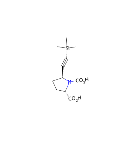 C[Si](C)(C)C#C[C@@H]1CC[C@@H](C(=O)O)N1C(=O)O